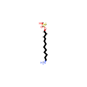 NCCCCCCCCCCCCOS(=O)(O)=S